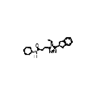 CCn1c(CCC(=O)NC2CCCCC2)nnc1C1Cc2ccccc2C1